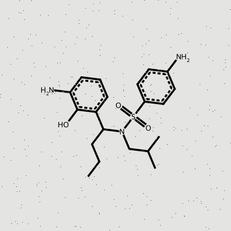 CCCC(c1cccc(N)c1O)N(CC(C)C)S(=O)(=O)c1ccc(N)cc1